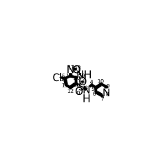 O=S(=O)(NCc1ccncc1)C1=CC=C(Cl)C2=NONC12